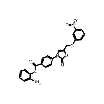 Nc1ccccc1NC(=O)c1ccc(-n2cc(COc3cccc([N+](=O)[O-])c3)oc2=O)cc1